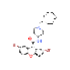 O=C(NC1CCN(CC2CCCCCCC2)CC1)C1c2cc(Br)ccc2Oc2ccc(Br)cc21